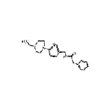 CCN1CCN(c2ccc(CNC(=O)Cc3ccccc3)cn2)CC1